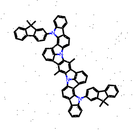 Cc1c2c3cccc4c5c6c(ccc5n(c2c(C)c2c5cccc7c8c9c(ccc8n(c12)c57)c1ccccc1n9-c1ccc2c(c1)C(C)(C)c1ccccc1-2)c34)c1ccccc1n6-c1ccc2c(c1)C(C)(C)c1ccccc1-2